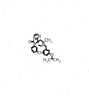 Cc1cccc(N2C(=O)n3ccnc3[C@]23CCN(Cc2cccc(OC(C)C)c2)[C@@H](C)C3)c1